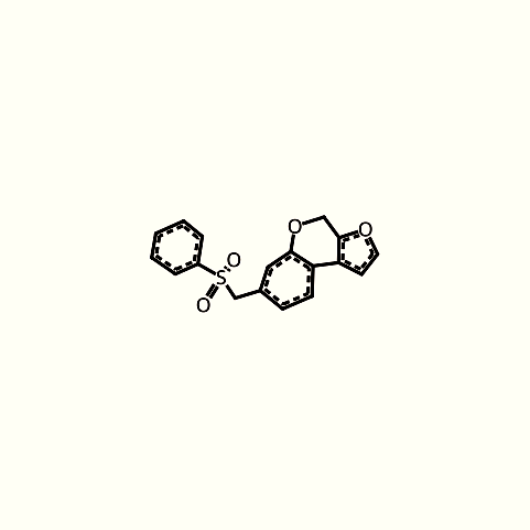 O=S(=O)(Cc1ccc2c(c1)OCc1occc1-2)c1ccccc1